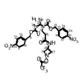 NC(=NC(=O)OCc1ccc([N+](=O)[O-])cc1)N(CCC(=O)NC1CN(OC(=O)C(F)(F)F)C1)C(=O)OCc1ccc([N+](=O)[O-])cc1